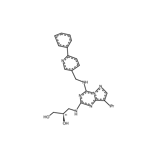 CC(C)c1cnn2c(NCc3ccc(-c4ccccc4)nc3)nc(NC[C@@H](O)CO)nc12